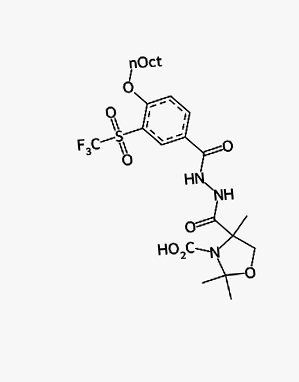 CCCCCCCCOc1ccc(C(=O)NNC(=O)C2(C)COC(C)(C)N2C(=O)O)cc1S(=O)(=O)C(F)(F)F